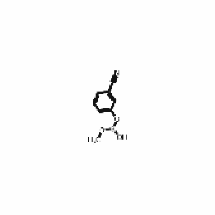 COB(O)Oc1cccc(C#N)c1